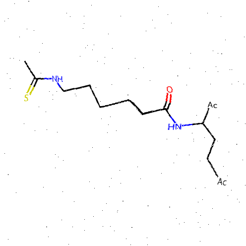 CC(=O)CCC(NC(=O)CCCCCNC(C)=S)C(C)=O